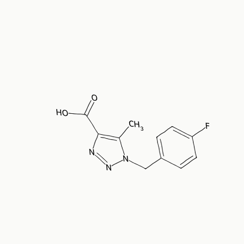 Cc1c(C(=O)O)nnn1Cc1ccc(F)cc1